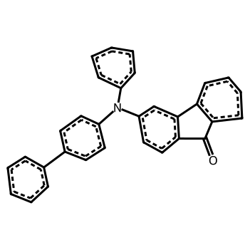 O=C1c2ccccc2-c2cc(N(c3ccccc3)c3ccc(-c4ccccc4)cc3)ccc21